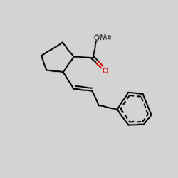 COC(=O)C1CCCC1C=CCc1ccccc1